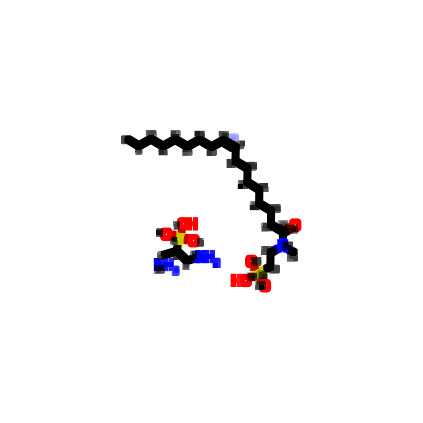 CC(CN)S(=O)(=O)O.CCCCCCCC/C=C\CCCCCCCC(=O)N(C)CCS(=O)(=O)O.N